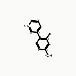 Cc1cc(O)ccc1-c1cccnc1